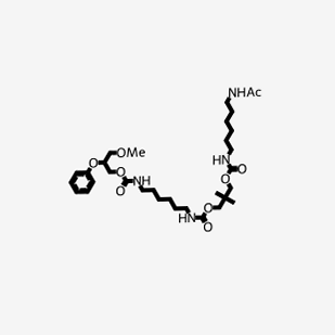 COCC(COC(=O)NCCCCCCNC(=O)OCC(C)(C)COC(=O)NCCCCCCNC(C)=O)Oc1ccccc1